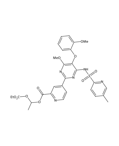 CCOC(=O)OC(C)OC(=O)c1cc(-c2nc(NS(=O)(=O)c3ccc(C)cn3)c(Oc3ccccc3OC)c(OC)n2)ccn1